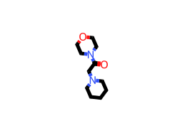 O=C(CN1CCCCC1)N1CCOCC1